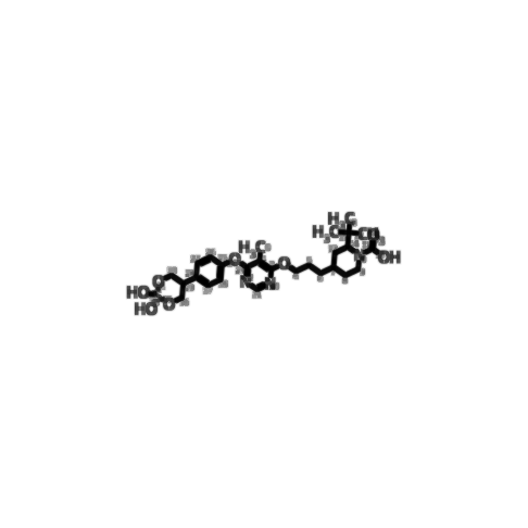 Cc1c(OCCCC2CCN(C(=O)O)C(C(C)(C)C)C2)ncnc1Oc1ccc(C2COS(O)(O)OC2)cc1